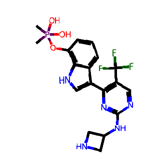 CP(C)(O)(O)Oc1cccc2c(-c3nc(NC4CNC4)ncc3C(F)(F)F)c[nH]c12